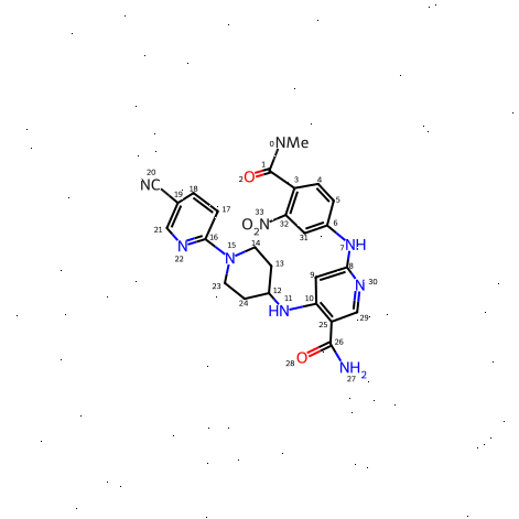 CNC(=O)c1ccc(Nc2cc(NC3CCN(c4ccc(C#N)cn4)CC3)c(C(N)=O)cn2)cc1[N+](=O)[O-]